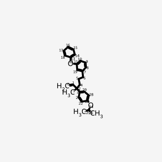 C=CC(C)(CCCc1cccc(Oc2ccccc2)c1)c1ccc(OC(C)C)cc1